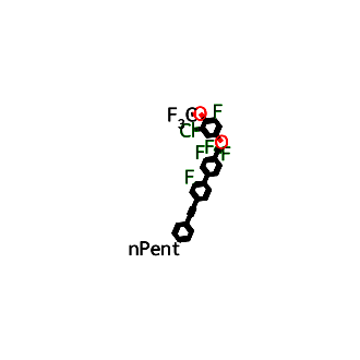 CCCCCc1ccc(C#Cc2ccc(-c3ccc(C(F)(F)Oc4cc(F)c(OC(F)(F)F)c(Cl)c4)c(F)c3)c(F)c2)cc1